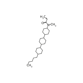 C=CC(=O)N(C)C1CCC(C2CCC(C3CCC(CCCCC)CC3)CC2)CC1